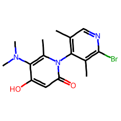 Cc1cnc(Br)c(C)c1-n1c(C)c(N(C)C)c(O)cc1=O